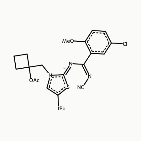 COc1ccc(Cl)cc1C(=NC#N)/N=c1\sc(C(C)(C)C)cn1CC1(OC(C)=O)CCC1